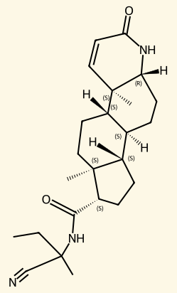 CCC(C)(C#N)NC(=O)[C@H]1CC[C@H]2[C@@H]3CC[C@H]4NC(=O)C=C[C@]4(C)[C@H]3CC[C@]12C